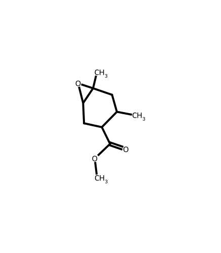 COC(=O)C1CC2OC2(C)CC1C